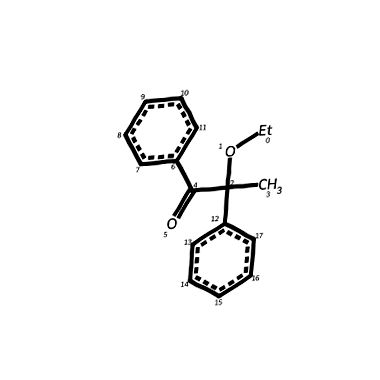 CCOC(C)(C(=O)c1ccccc1)c1ccccc1